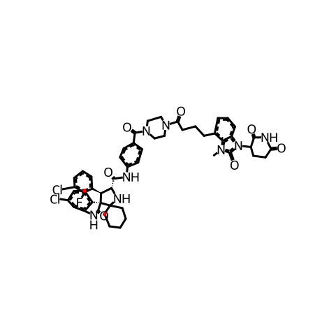 Cn1c(=O)n(C2CCC(=O)NC2=O)c2cccc(CCCC(=O)N3CCN(C(=O)c4ccc(NC(=O)[C@@H]5NC6(CCCCC6)[C@@]6(C(=O)Nc7cc(Cl)ccc76)[C@H]5c5cccc(Cl)c5F)cc4)CC3)c21